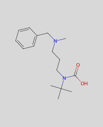 CN(CCCN(C(=O)O)C(C)(C)C)Cc1ccccc1